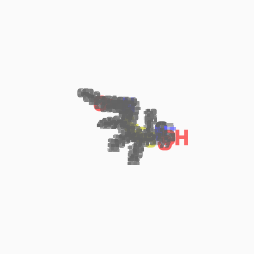 [C-]#[N+]/C(=C\c1cc(CCCCCC)c(-c2cc(CCCCCC)c(-c3cc(CCCCCC)c(-c4cc(CCCCCC)c(-c5ccc6c(c5)c5cc(-c7ccc(OCCCCCC)cc7)ccc5n6CC)s4)s3)s2)s1)C(=O)O